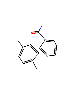 NC(=O)c1ccccc1.O=C(O)c1ccc(C(=O)O)cc1